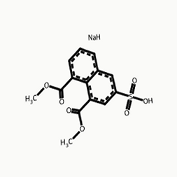 COC(=O)c1cccc2cc(S(=O)(=O)O)cc(C(=O)OC)c12.[NaH]